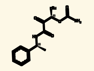 CCCC[C@H](OC(N)=O)C(=O)C(=O)N[C@H](C)c1ccccc1